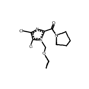 CCOCn1c(C(=O)N2CCCC2)nc(Cl)c1Cl